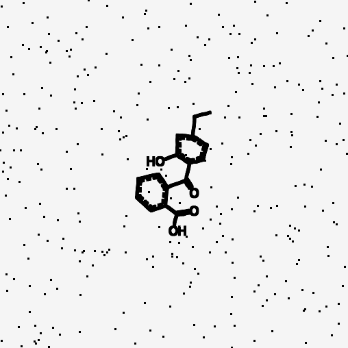 CCc1ccc(C(=O)c2ccccc2C(=O)O)c(O)c1